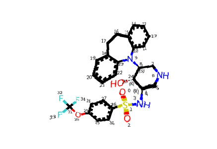 O=S(=O)(N[C@@H]1CNC[C@H](N2c3ccccc3CCc3ccccc32)[C@H]1O)c1ccc(OC(F)(F)F)cc1